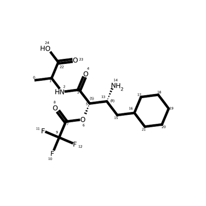 CC(NC(=O)[C@@H](OC(=O)C(F)(F)F)[C@H](N)CC1CCCCC1)C(=O)O